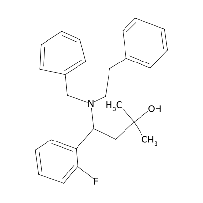 CC(C)(O)CC(c1ccccc1F)N(CCc1ccccc1)Cc1ccccc1